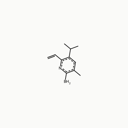 Bc1nc(C=C)c(C(C)C)cc1C